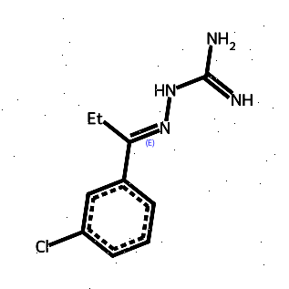 CC/C(=N\NC(=N)N)c1cccc(Cl)c1